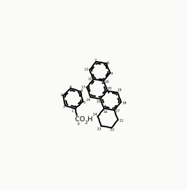 O=C(O)c1ccccc1.c1ccc2c(c1)ccc1c3c(ccc12)CCCC3